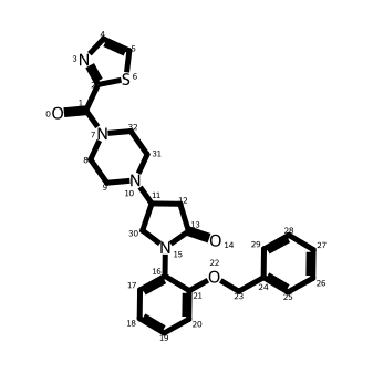 O=C(c1nccs1)N1CCN(C2CC(=O)N(c3ccccc3OCc3ccccc3)C2)CC1